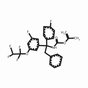 C=C(C)OC(=O)NC(Cc1ccccc1)(c1ccc(F)cc1)c1cc(F)cc(OC(F)(F)C(F)F)c1